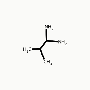 C[C](C)C(N)N